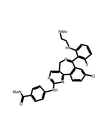 CNCCNc1cccc(F)c1C1=NCc2cnc(Nc3ccc(C(=O)NC)cc3)nc2-c2ccc(Cl)cc21